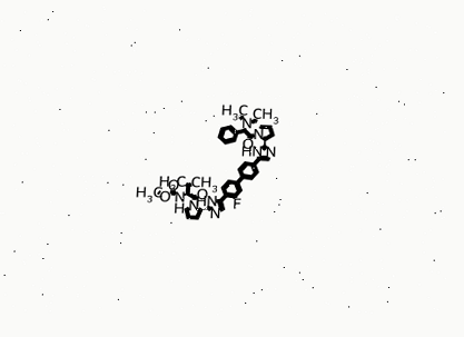 CCN(CC)[C@@H](C(=O)N1CCC[C@H]1c1ncc(-c2ccc(-c3ccc(-c4cnc([C@@H]5CCCN5C(=O)[C@@H](NC(=O)OC)C(C)C)[nH]4)c(F)c3)cc2)[nH]1)c1ccccc1